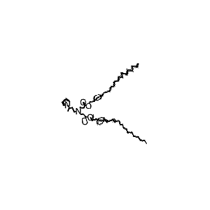 CCCCCCCCCCCCCCCCOCCOC(=O)CCN(CCC(=O)OCCOCCCCCCCCCCCCCCCC)CCC(C)n1cccc1